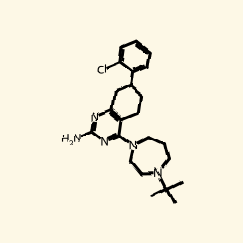 CC(C)(C)N1CCCN(c2nc(N)nc3c2CCC(c2ccccc2Cl)C3)CC1